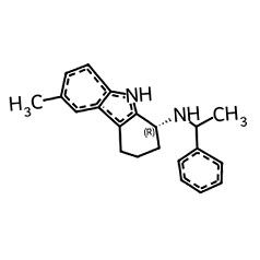 Cc1ccc2[nH]c3c(c2c1)CCC[C@H]3NC(C)c1ccccc1